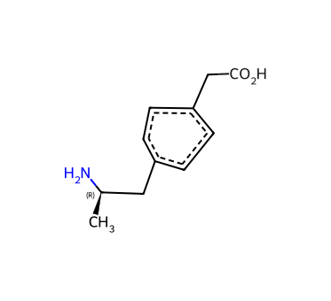 C[C@@H](N)Cc1ccc(CC(=O)O)cc1